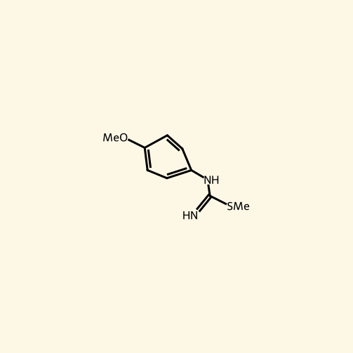 COc1ccc(NC(=N)SC)cc1